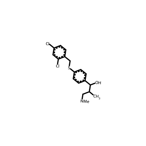 CNCC(C)C(O)c1ccc(SCc2ccc(Cl)cc2Cl)cc1